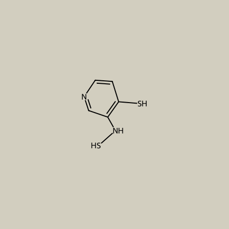 SNc1cnccc1S